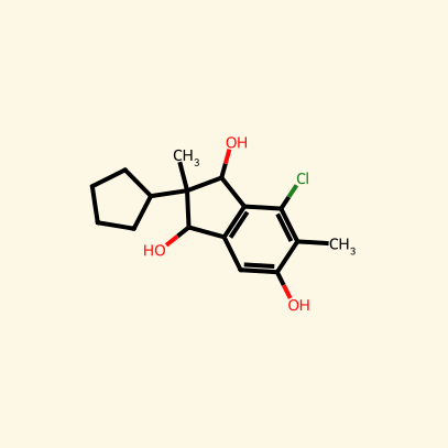 Cc1c(O)cc2c(c1Cl)C(O)C(C)(C1CCCC1)C2O